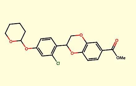 COC(=O)c1ccc2c(c1)OCC(c1ccc(OC3CCCCO3)cc1Cl)O2